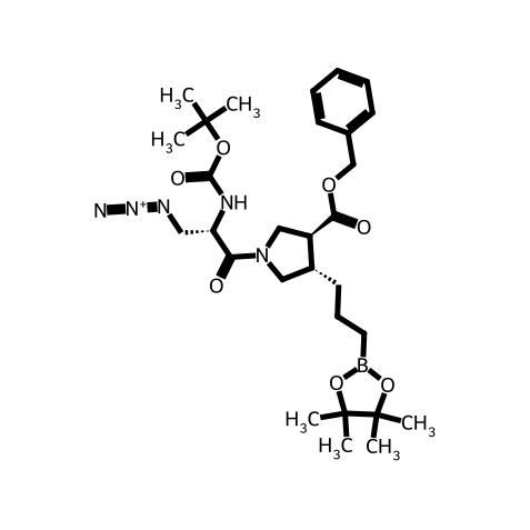 CC(C)(C)OC(=O)N[C@@H](CN=[N+]=[N-])C(=O)N1C[C@@H](CCCB2OC(C)(C)C(C)(C)O2)[C@H](C(=O)OCc2ccccc2)C1